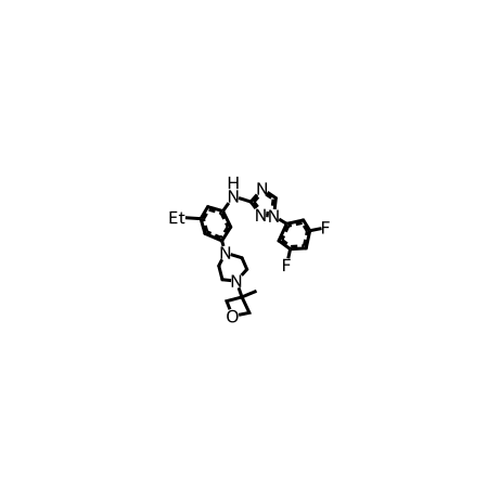 CCc1cc(Nc2ncn(-c3cc(F)cc(F)c3)n2)cc(N2CCN(C3(C)COC3)CC2)c1